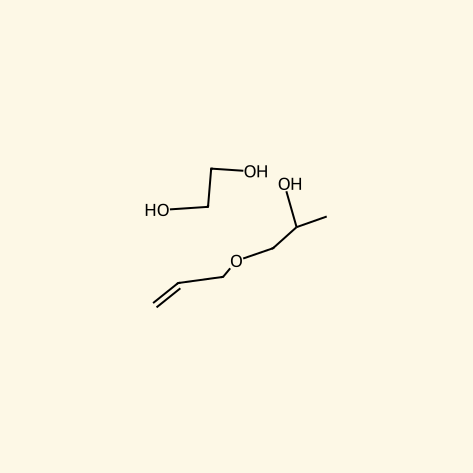 C=CCOCC(C)O.OCCO